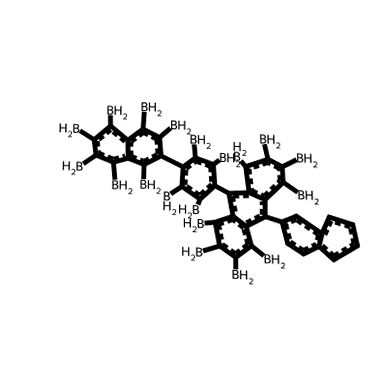 Bc1c(B)c(-c2c3c(B)c(B)c(B)c(B)c3c(-c3ccc4ccccc4c3)c3c(B)c(B)c(B)c(B)c23)c(B)c(B)c1-c1c(B)c(B)c2c(B)c(B)c(B)c(B)c2c1B